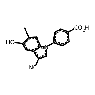 Cc1cc2c(cc1O)c(C#N)cn2-c1ccc(C(=O)O)cc1